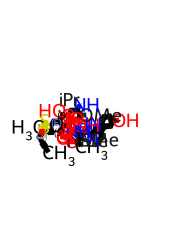 CC#C/C=C\C#C[C@H](OC1OC(C)C(SC)(C(=O)c2nccc3c2[nH]c2ccc(O)cc23)C(O)C1OC1CC(OC)C(NC(C)C)CO1)C1=C(NC(=O)NC)C(=O)C[C@H](O)/C1=C/CS(C)(=S)=S